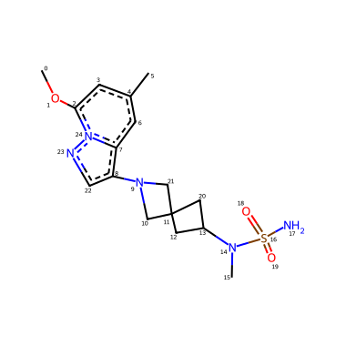 COc1cc(C)cc2c(N3CC4(CC(N(C)S(N)(=O)=O)C4)C3)cnn12